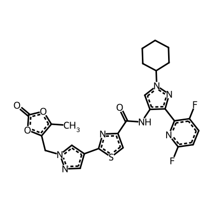 Cc1oc(=O)oc1Cn1cc(-c2nc(C(=O)Nc3cn(C4CCCCC4)nc3-c3nc(F)ccc3F)cs2)cn1